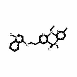 CCN1c2ncc(CCOc3cc[n+]([O-])c4ccccc34)cc2C(=O)N(C)c2ccc(C)nc21